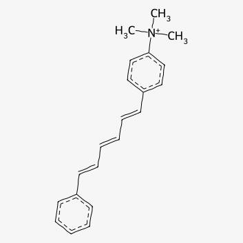 C[N+](C)(C)c1ccc(/C=C/C=C/C=C/c2ccccc2)cc1